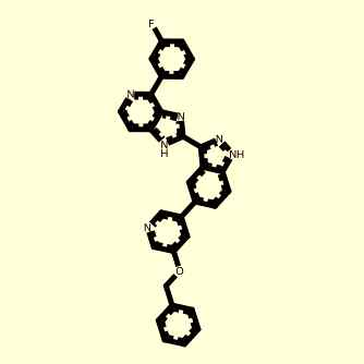 Fc1cccc(-c2nccc3[nH]c(-c4n[nH]c5ccc(-c6cncc(OCc7ccccc7)c6)cc45)nc23)c1